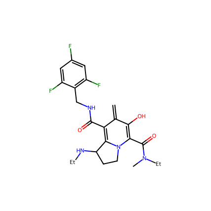 C=C1C(O)=C(C(=O)N(C)CC)N2CCC(NCC)C2=C1C(=O)NCc1c(F)cc(F)cc1F